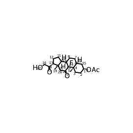 CC(=O)O[C@H]1CC[C@@]2(C)[C@@H](CC[C@H]3[C@@H]4CC[C@H](C(=O)CO)[C@@]4(C)CC(=O)[C@@]32F)C1